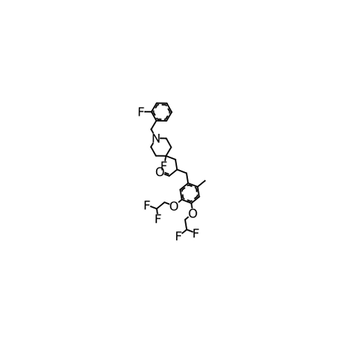 Cc1cc(OCC(F)F)c(OCC(F)F)cc1CC(C=O)CC1(F)CCN(Cc2ccccc2F)CC1